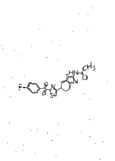 CC(=O)Nc1nc2c(s1)=CC(c1csc(S(=O)(=O)c3ccc(F)cc3)n1)CC=2